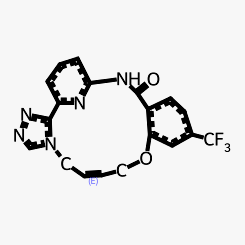 O=C1Nc2cccc(n2)-c2nncn2C/C=C/COc2cc(C(F)(F)F)ccc21